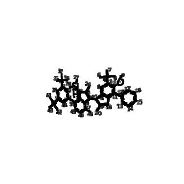 COc1c(C(C)(C)C)cc2c(c1-c1ccccc1)C=C(C)C2C1=C(C)C([SiH](C)C)c2c(-c3cc(C(C)(C)C)cc(C(C)(C)C)c3)ccc(C)c21